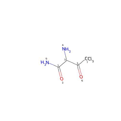 NC(=O)C(N)C(=O)C(Cl)(Cl)Cl